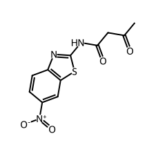 CC(=O)CC(=O)Nc1nc2ccc([N+](=O)[O-])cc2s1